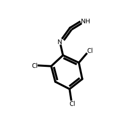 N=C=Nc1c(Cl)cc(Cl)cc1Cl